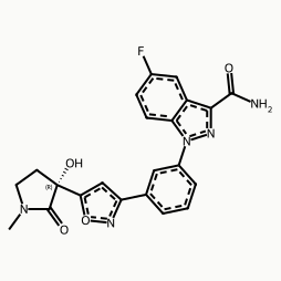 CN1CC[C@@](O)(c2cc(-c3cccc(-n4nc(C(N)=O)c5cc(F)ccc54)c3)no2)C1=O